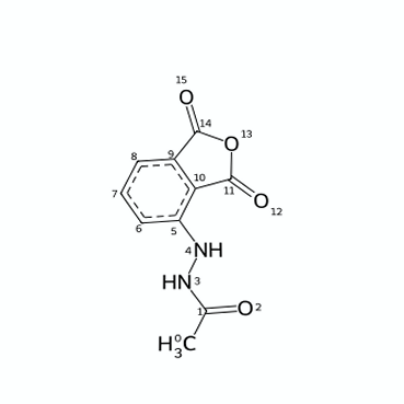 CC(=O)NNc1cccc2c1C(=O)OC2=O